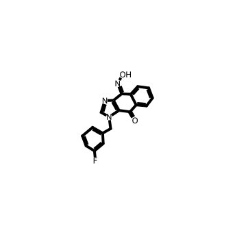 O=C1c2ccccc2C(=NO)c2ncn(Cc3cccc(F)c3)c21